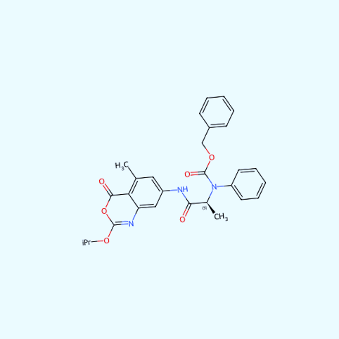 Cc1cc(NC(=O)[C@H](C)N(C(=O)OCc2ccccc2)c2ccccc2)cc2nc(OC(C)C)oc(=O)c12